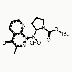 Cc1nn(N(C=O)[C@H]2CCCN2C(=O)OC(C)(C)C)c2ncccc2c1=O